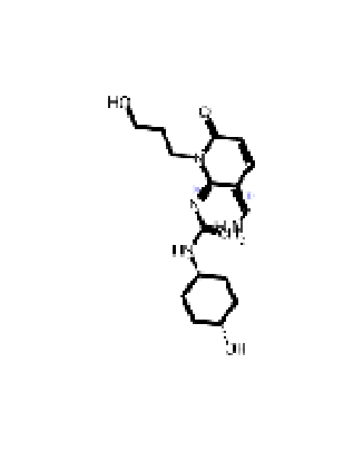 C=C(/N=C1\C(=C/N)C=CC(=O)N1CCCO)N[C@H]1CC[C@H](O)CC1